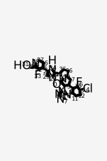 O=c1cc(-c2c(-n3cnnn3)ccc(Cl)c2F)cc2n1C(c1ncc(-c3ccnc(CO)c3F)[nH]1)=CC2